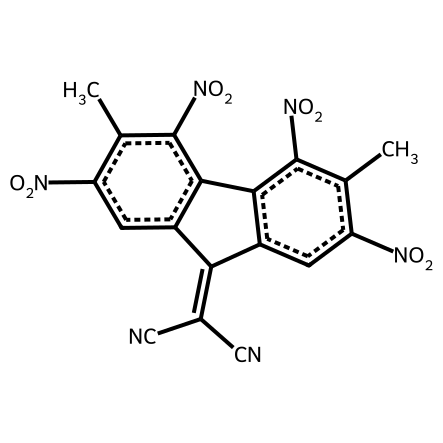 Cc1c([N+](=O)[O-])cc2c(c1[N+](=O)[O-])-c1c(cc([N+](=O)[O-])c(C)c1[N+](=O)[O-])C2=C(C#N)C#N